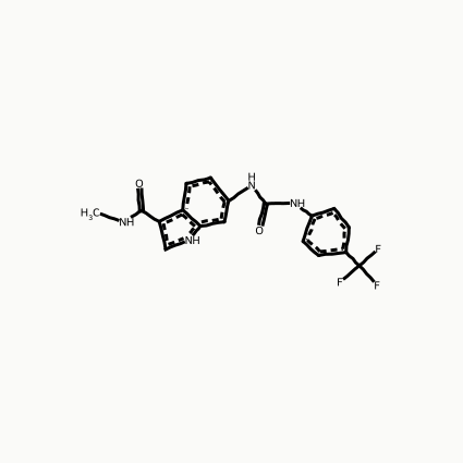 CNC(=O)c1c[nH]c2cc(NC(=O)Nc3ccc(C(F)(F)F)cc3)ccc12